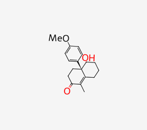 COc1ccc([C@]23CCC(=O)C(C)=C2CCC[C@@H]3O)cc1